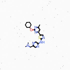 Cc1cc(-c2cnc(Nc3cnc(CN(C)C)cn3)s2)nc(OC2CCCCC2)n1